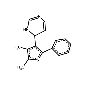 Cc1sc(-c2ccccc2)c(C2C=CN=CN2)c1C